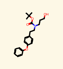 CC(C)(C)OC(=O)N(CCCO)CCc1ccc(Oc2ccccc2)cc1